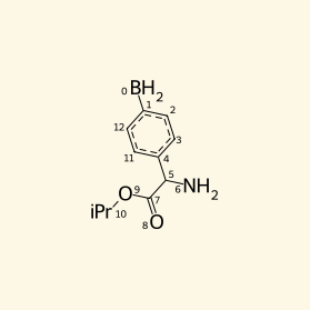 Bc1ccc(C(N)C(=O)OC(C)C)cc1